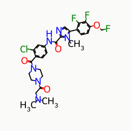 CN(C)CC(=O)N1CCN(C(=O)c2ccc(NC(=O)c3ncc(-c4ccc(OCF)c(F)c4F)n3C)cc2Cl)CC1